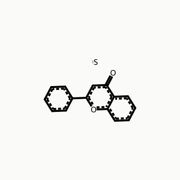 O=c1cc(-c2ccccc2)oc2ccccc12.[S]